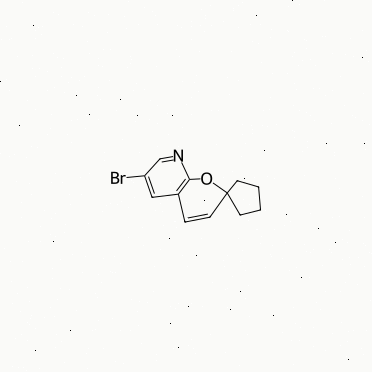 Brc1cnc2c(c1)C=CC1(CCCC1)O2